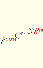 CC(F)(F)COc1nc2c(s1)CCN(CC[C@H]1CC[C@H](NC(=O)OC(C)(C)C)CC1)CC2